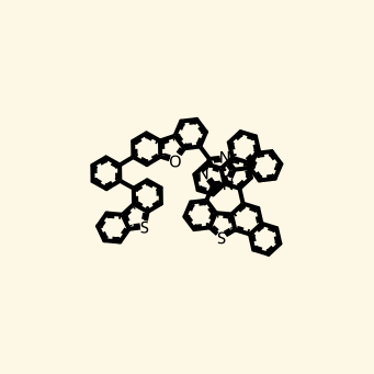 c1ccc(-c2nc(-c3cccc4c3oc3cc(-c5ccccc5-c5cccc6sc7ccccc7c56)ccc34)nc(-c3cccc4sc5c6ccccc6cc(-c6cc7ccccc7c7ccccc67)c5c34)n2)cc1